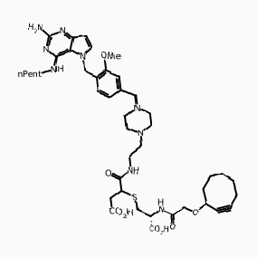 CCCCCNc1nc(N)nc2ccn(Cc3ccc(CN4CCN(CCNC(=O)C(CC(=O)O)SC[C@H](NC(=O)COC5C#CCCCCC5)C(=O)O)CC4)cc3OC)c12